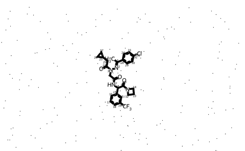 C/C(=N\N(CC(=O)NC(C(=O)N1CCC1)c1cccc(C(F)(F)F)c1)C(=O)CC1CC1)c1ccc(Cl)cc1